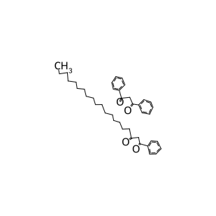 CCCCCCCCCCCCCCCCCC(=O)CC(=O)c1ccccc1.O=C(CC(=O)c1ccccc1)c1ccccc1